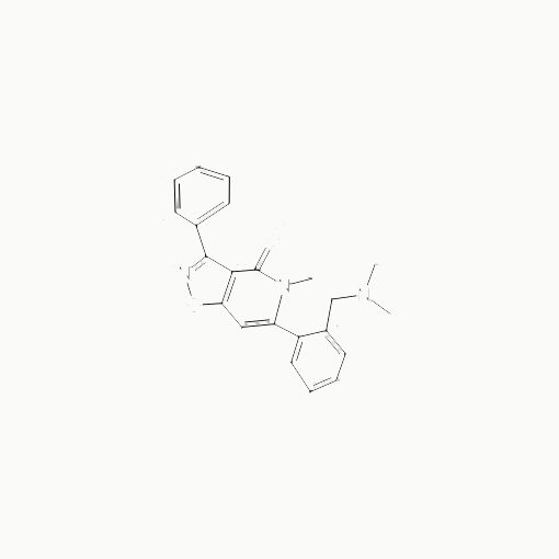 CN(C)Cc1ccccc1-c1cc2onc(-c3ccccc3)c2c(=O)n1C